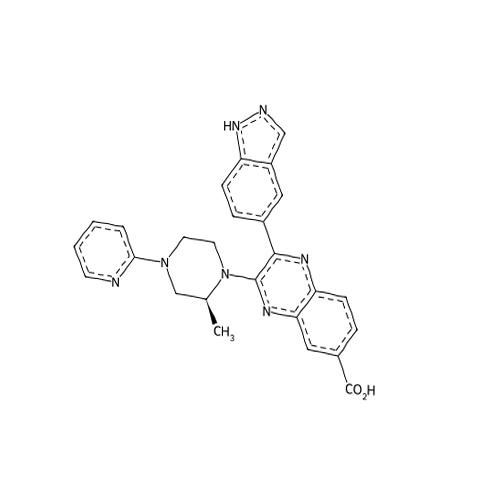 C[C@H]1CN(c2ccccn2)CCN1c1nc2cc(C(=O)O)ccc2nc1-c1ccc2[nH]ncc2c1